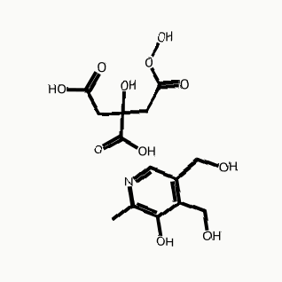 Cc1ncc(CO)c(CO)c1O.O=C(O)CC(O)(CC(=O)OO)C(=O)O